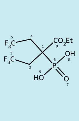 CCOC(=O)C(CC(F)(F)F)(CC(F)(F)F)P(=O)(O)O